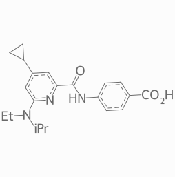 CCN(c1cc(C2CC2)cc(C(=O)Nc2ccc(C(=O)O)cc2)n1)C(C)C